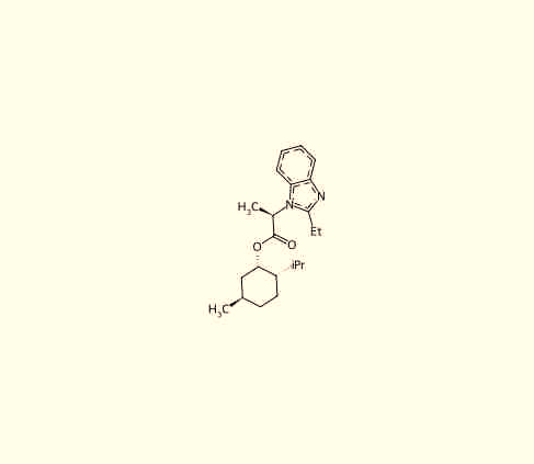 CCc1nc2ccccc2n1[C@H](C)C(=O)O[C@H]1C[C@H](C)CC[C@H]1C(C)C